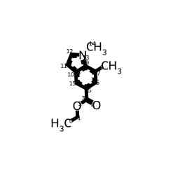 CCOC(=O)c1cc(C)c2c(ccn2C)c1